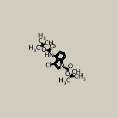 CC(C)(C)OC(=O)Nc1cccc2c1c(Cl)cn2C(=O)OC(C)(C)C